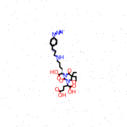 CCC1(CC)C(=O)N(C(CCC(=O)O)C(=O)O)C(=O)N([C@@H](CCCCNC/C=C/c2ccc(N=[N+]=[N-])cc2)C(=O)O)C1=O